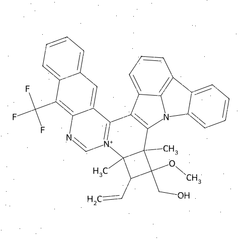 C=CC1C(CO)(OC)C2(C)c3c(c4cccc5c6ccccc6n3c45)-c3c4cc5ccccc5c(C(F)(F)F)c4nc[n+]3C12C